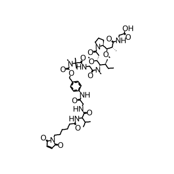 CC[C@H](C)[C@@H]([C@@H](CC(=O)N1CCC[C@H]1[C@H](OC)[C@@H](C)C(=O)NCC(=O)O)OC)N(C)C(=O)CNC(=O)C(C)(C)N(C)C(=O)OCc1ccc(NC(=O)CNC(=O)C(NC(=O)CCCCCN2C(=O)C=CC2=O)C(C)C)cc1